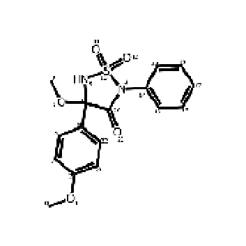 COc1ccc(C2(OC)NS(=O)(=O)N(c3ccccc3)C2=O)cc1